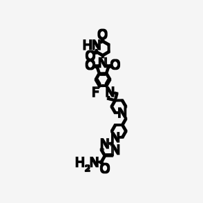 NC(=O)c1cnc(N2CCC(CN3CCC4(CC3)CN(c3cc5c(cc3F)C(=O)N(C3CCC(=O)NC3=O)C5=O)C4)CC2)nc1